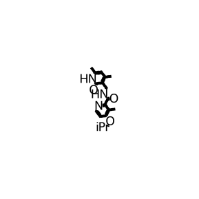 Cc1cc(C)c(CNC(=O)c2nccc(OC(C)C)c2C)c(=O)[nH]1